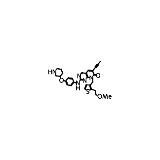 CC#Cc1cc2cnc(Nc3ccc(OC4CCCNC4)cc3)nc2n(Cc2ccsc2CCOC)c1=O